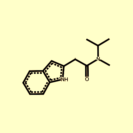 CC(C)N(C)C(=O)[CH]c1cc2ccccc2[nH]1